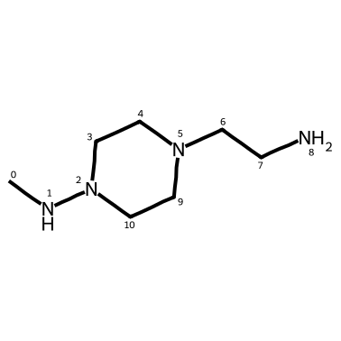 CNN1CCN(CCN)CC1